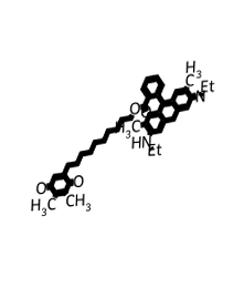 CC/N=C1/C=C2Cc3cc(NCC)c(C)cc3C(c3ccccc3C(=O)OCCCCCCCCCCC3=CC(=O)C(C)=C(C)C3=O)=C2C=C1C